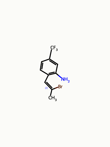 C/C(Br)=C/c1ccc(C(F)(F)F)cc1N